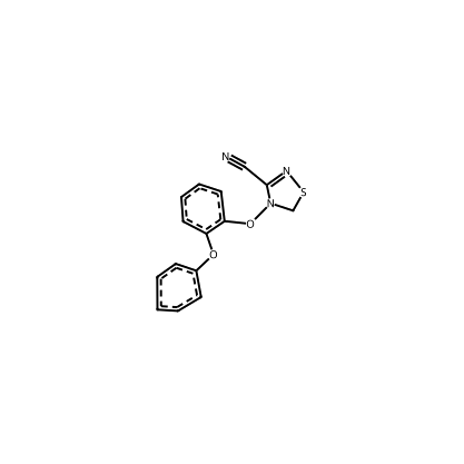 N#CC1=NSCN1Oc1ccccc1Oc1ccccc1